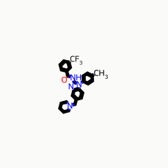 Cc1ccc(-n2c(NC(=O)c3cccc(C(F)(F)F)c3)nc3cc(CN4CCCCC4)ccc32)cc1